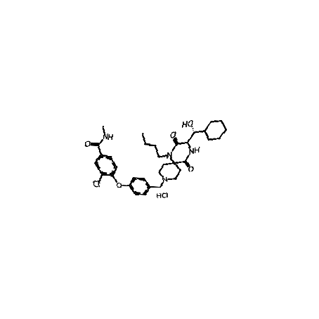 CCCCN1C(=O)[C@@H]([C@H](O)C2CCCCC2)NC(=O)C12CCN(Cc1ccc(Oc3ccc(C(=O)NC)cc3Cl)cc1)CC2.Cl